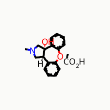 CC(=O)O.CN1C[C@@H]2c3ccccc3Oc3ccccc3[C@]2(O)C1